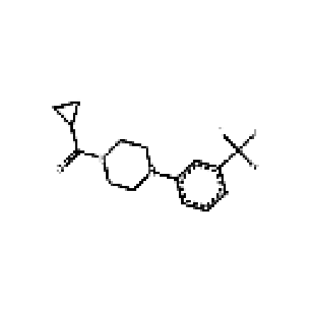 O=C(C1CC1)N1CCN(c2cccc(C(F)(F)F)c2)CC1